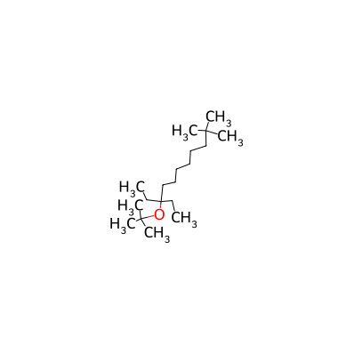 CCC(CC)(CCCCCCC(C)(C)C)OC(C)(C)C